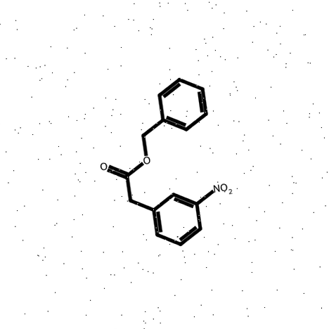 O=C([CH]c1cccc([N+](=O)[O-])c1)OCc1ccccc1